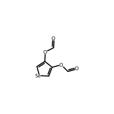 O=COc1c[se]cc1OC=O